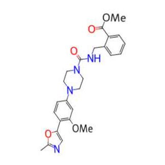 COC(=O)c1ccccc1CNC(=O)N1CCN(c2ccc(-c3cnc(C)o3)c(OC)c2)CC1